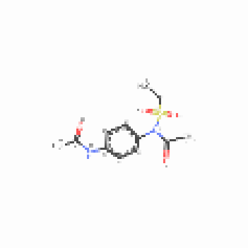 CCS(=O)(=O)N(C(C)=O)c1ccc(NC(C)=O)cc1